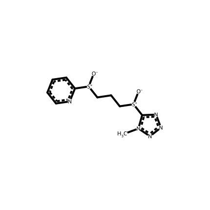 Cn1nnnc1[S+]([O-])CCC[S+]([O-])c1ccccn1